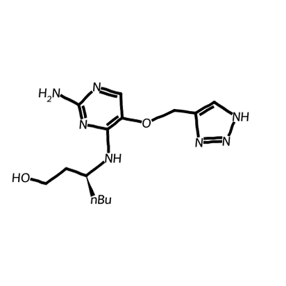 CCCC[C@@H](CCO)Nc1nc(N)ncc1OCc1c[nH]nn1